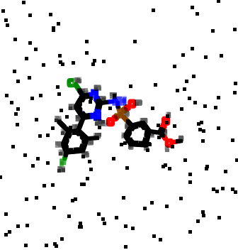 COC(=O)c1cccc(S(=O)(=O)Nc2nc(Cl)cc(-c3c(C)cc(F)cc3C)n2)c1